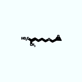 CC(=CCCCOCC1CO1)C(=O)O